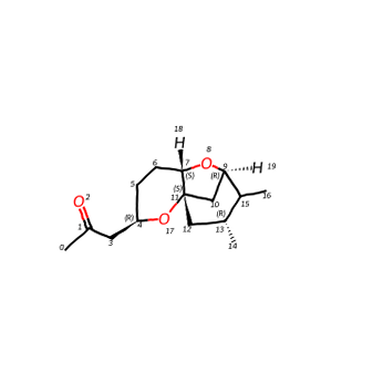 CC(=O)C[C@H]1CC[C@@H]2O[C@@H]3C[C@]2(C[C@@H](C)C3C)O1